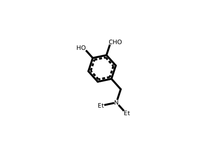 CCN(CC)Cc1ccc(O)c(C=O)c1